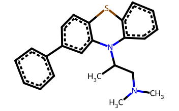 CC(CN(C)C)N1c2ccccc2Sc2ccc(-c3ccccc3)cc21